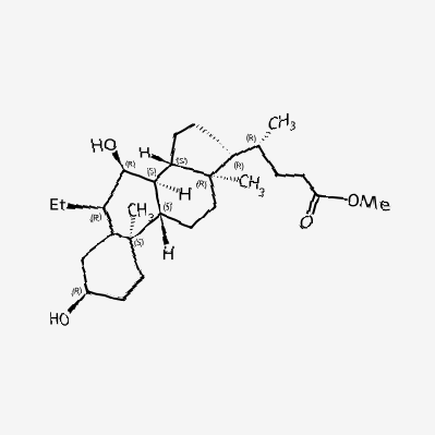 CC[C@@H]1C2C[C@H](O)CC[C@]2(C)[C@H]2CC[C@]3(C)[C@@H]([C@H](C)CCC(=O)OC)CC[C@H]3[C@@H]2[C@@H]1O